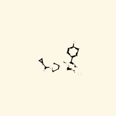 Cn1nc(-c2ccc(Br)cc2)n(C[C@@H]2CCN(C(=O)C3CC3)C2)c1=O